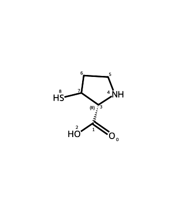 O=C(O)[C@H]1NCCC1S